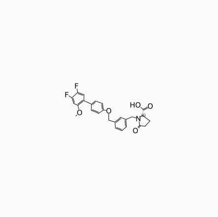 COc1cc(F)c(F)cc1-c1ccc(OCc2cccc(CN3C(=O)CC[C@H]3C(=O)O)c2)cc1